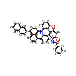 c1ccc(-c2nc3cc4c(cc3o2)oc2cccc(N(c3ccc(-c5ccc6ccccc6c5)cc3)c3ccccc3-c3ccccc3)c24)cc1